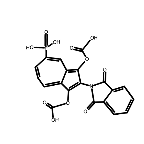 O=C(O)Oc1c2cccc(P(=O)(O)O)cc-2c(OC(=O)O)c1N1C(=O)c2ccccc2C1=O